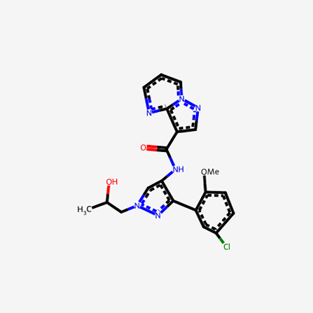 COc1ccc(Cl)cc1-c1nn(CC(C)O)cc1NC(=O)c1cnn2cccnc12